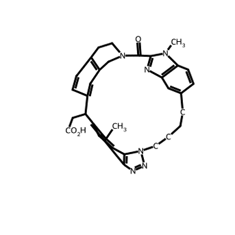 Cc1c2ccc3c1nnn3CCCCc1ccc3c(c1)nc(n3C)C(=O)N1CCc3ccc(cc3C1)C2CC(=O)O